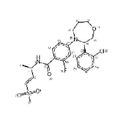 C[C@H](/C=C/S(C)(=O)=O)NC(=O)c1ccc(N2CCCOC[C@H]2c2ccccc2Cl)cc1F